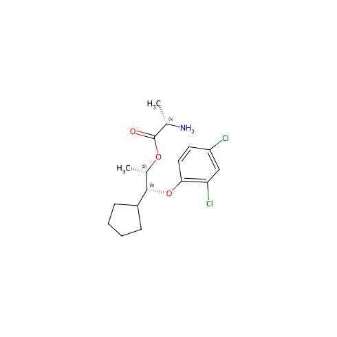 C[C@H](N)C(=O)O[C@@H](C)[C@H](Oc1ccc(Cl)cc1Cl)C1CCCC1